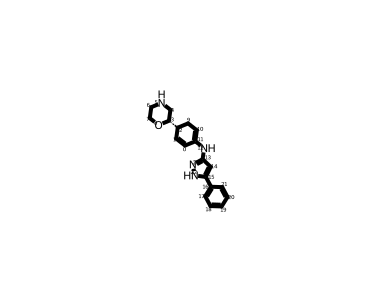 C1=CC([C@H]2CNCCO2)CC=C1Nc1cc(-c2ccccc2)[nH]n1